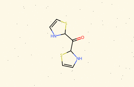 O=C(C1NC=CS1)C1NC=CS1